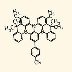 Cc1ccc2c3c1C(C)(C)c1ccccc1B3c1cc(-c3ccc(C#N)cc3)cc3c1N2c1ccc(C)c2c1B3c1ccccc1C2(C)C